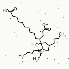 CCCCC(CC)CC(C)(CC(CC)CCCC)C(CCCCCCCCCC(=O)O)CCC(=O)O